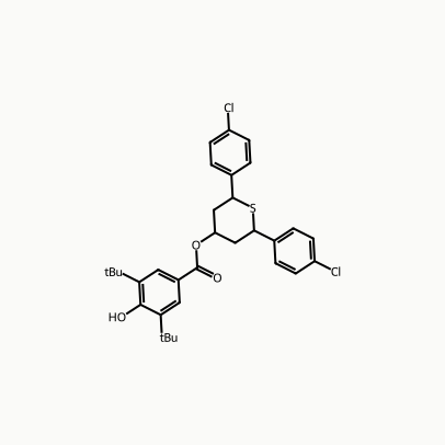 CC(C)(C)c1cc(C(=O)OC2CC(c3ccc(Cl)cc3)SC(c3ccc(Cl)cc3)C2)cc(C(C)(C)C)c1O